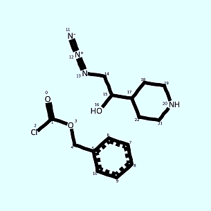 O=C(Cl)OCc1ccccc1.[N-]=[N+]=NCC(O)C1CCNCC1